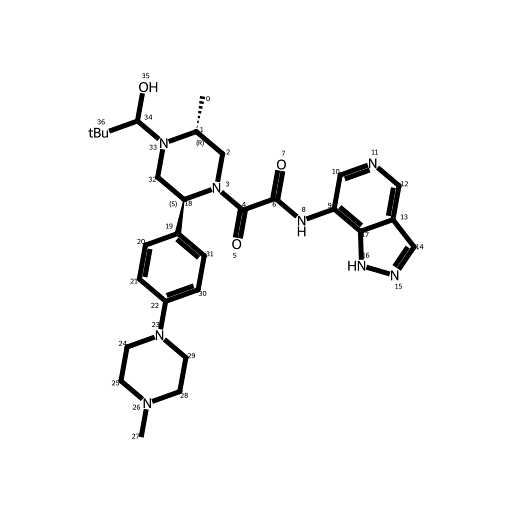 C[C@@H]1CN(C(=O)C(=O)Nc2cncc3cn[nH]c23)[C@@H](c2ccc(N3CCN(C)CC3)cc2)CN1C(O)C(C)(C)C